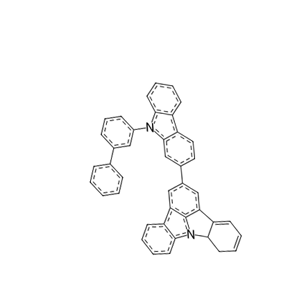 C1=CCC2C(=C1)c1cc(-c3ccc4c5ccccc5n(-c5cccc(-c6ccccc6)c5)c4c3)cc3c4ccccc4n2c13